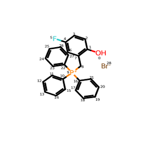 Oc1ccc(F)cc1C[P+](c1ccccc1)(c1ccccc1)c1ccccc1.[Br-]